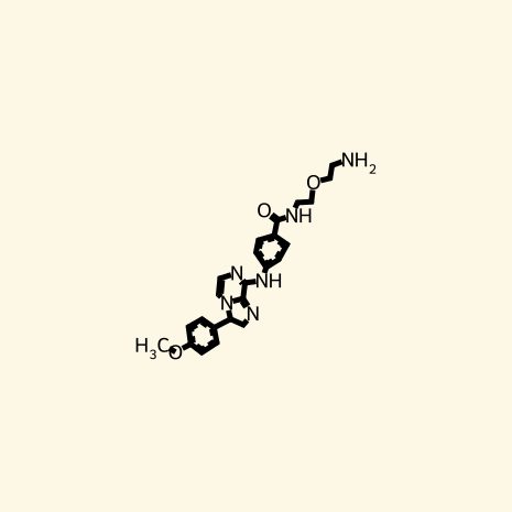 COc1ccc(C2CN=C3C(Nc4ccc(C(=O)NCCOCCN)cc4)=NC=CN32)cc1